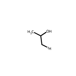 [3H]CC(C)O